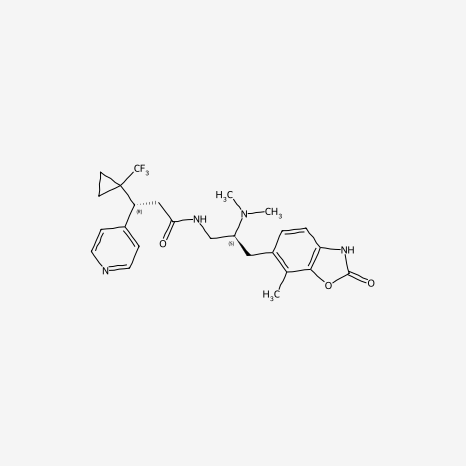 Cc1c(C[C@@H](CNC(=O)C[C@H](c2ccncc2)C2(C(F)(F)F)CC2)N(C)C)ccc2[nH]c(=O)oc12